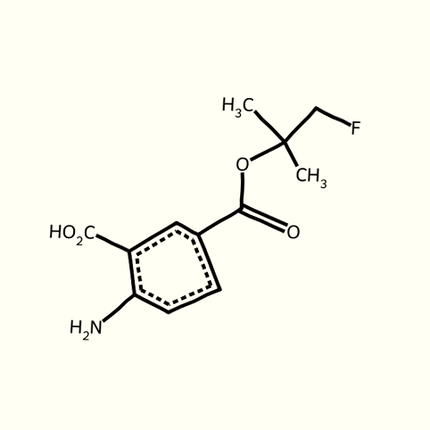 CC(C)(CF)OC(=O)c1ccc(N)c(C(=O)O)c1